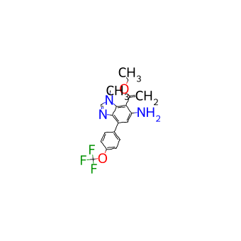 C=C(OCC)c1c(N)cc(-c2ccc(OC(F)(F)F)cc2)c2ncn(C)c12